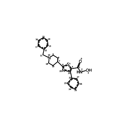 O=C(NO)c1sc(C2CCN(Cc3ccccc3)CC2)nc1-c1ccccc1